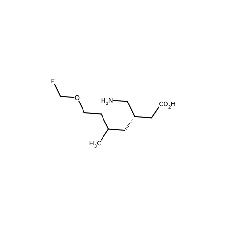 CC(CCOCF)C[C@H](CN)CC(=O)O